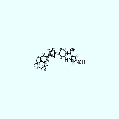 CC1(C)CCC(C)(C)c2cc(-c3csc(C4CCN(C(=O)[C@H]5C[C@H](O)CN5)CC4)n3)ccc21